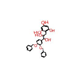 Oc1cc(O)c(C[C@@H](O)[C@@H](O)c2ccc(OCc3ccccc3)c(OCc3ccccc3)c2)c(O)c1